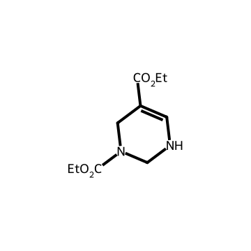 CCOC(=O)C1=CNCN(C(=O)OCC)C1